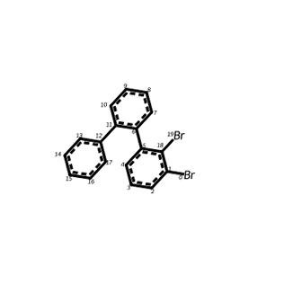 Brc1cccc(-c2ccccc2-c2ccccc2)c1Br